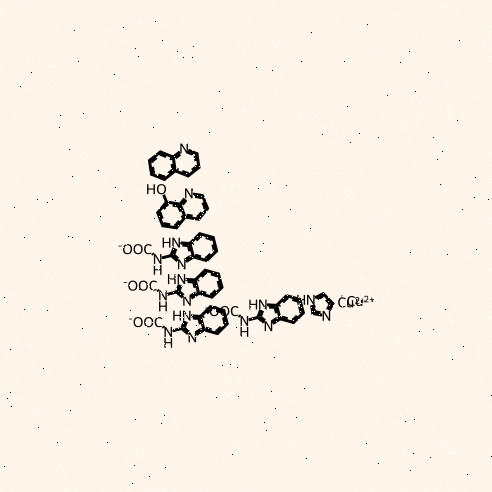 O=C([O-])Nc1nc2ccccc2[nH]1.O=C([O-])Nc1nc2ccccc2[nH]1.O=C([O-])Nc1nc2ccccc2[nH]1.O=C([O-])Nc1nc2ccccc2[nH]1.Oc1cccc2cccnc12.[Cu+2].[Cu+2].c1c[nH]cn1.c1ccc2ncccc2c1